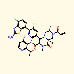 C=CC(=O)N1C[C@@H]2C(=O)N(C)c3c(c4cc(Cl)c(-c5ccc(F)c6nc(N)sc56)nc4n(-c4c(C)ccnc4C(C)C)c3=O)N2C[C@H]1C